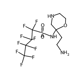 NCCC1(NS(=O)(=O)C(F)(F)C(F)(F)C(F)(F)C(F)(F)F)CNCCO1